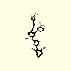 COc1cccc(F)c1-c1nccc(Nc2cc(N3CCC[C@H](N)C3)c(C#Cc3cnn(C(F)(F)F)c3)cn2)n1.Cl